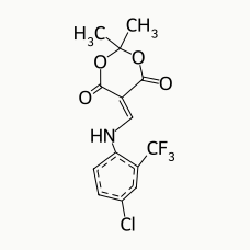 CC1(C)OC(=O)C(=CNc2ccc(Cl)cc2C(F)(F)F)C(=O)O1